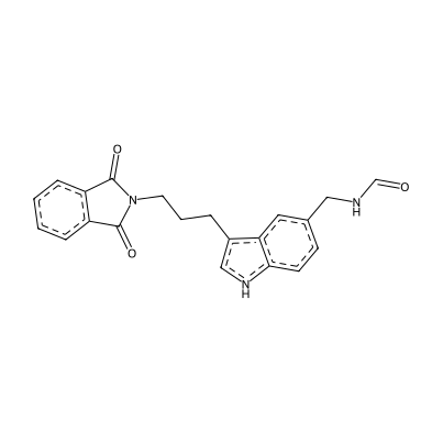 O=CNCc1ccc2[nH]cc(CCCN3C(=O)c4ccccc4C3=O)c2c1